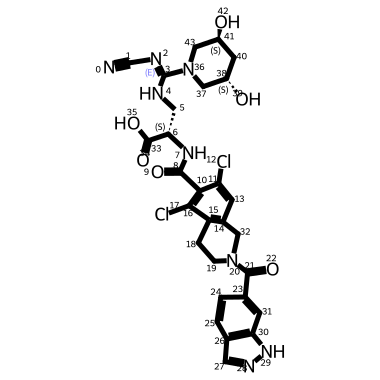 N#C/N=C(\NC[C@H](NC(=O)c1c(Cl)cc2c(c1Cl)CCN(C(=O)c1ccc3cn[nH]c3c1)C2)C(=O)O)N1C[C@@H](O)C[C@H](O)C1